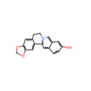 Oc1ccc2cc3[n+](cc2c1)CCc1cc2c(cc1-3)OCO2